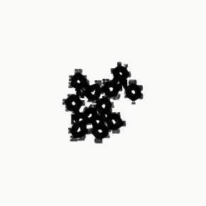 c1ccc(-n2c3ccccc3c3cc(-c4ccc5c(c4)c4ccccc4n5-c4cccc(-c5nc6ccccc6c6c7c(ccc56)C5(c6ccccc6-c6ccccc65)c5ccccc5-7)c4)ccc32)cc1